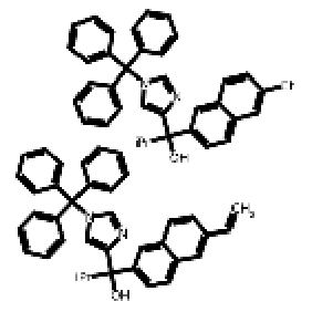 C=Cc1ccc2cc(C(O)(c3cn(C(c4ccccc4)(c4ccccc4)c4ccccc4)cn3)C(C)C)ccc2c1.CCc1ccc2cc(C(O)(c3cn(C(c4ccccc4)(c4ccccc4)c4ccccc4)cn3)C(C)C)ccc2c1